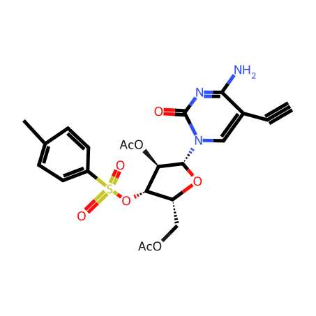 C#Cc1cn([C@@H]2O[C@H](COC(C)=O)[C@H](OS(=O)(=O)c3ccc(C)cc3)[C@H]2OC(C)=O)c(=O)nc1N